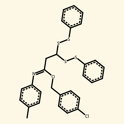 Cc1ccc(/N=C(/CC(SSc2ccccc2)SSc2ccccc2)OCc2ccc(Cl)cc2)cc1